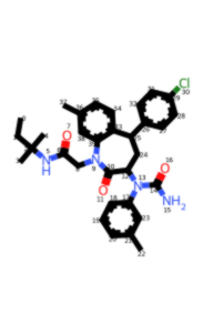 CCC(C)(C)NC(=O)CN1C(=O)C(N(C(N)=O)c2cccc(C)c2)CC(c2ccc(Cl)cc2)c2ccc(C)cc21